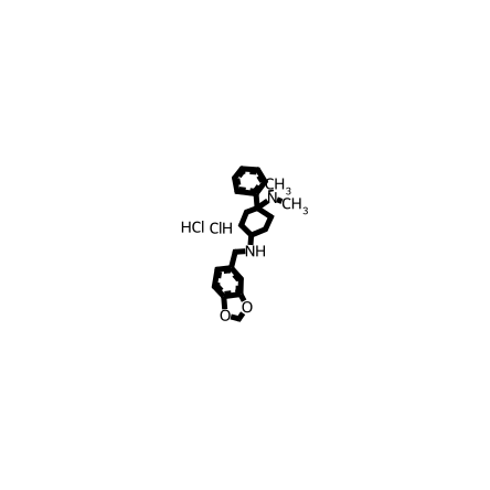 CN(C)C1(c2ccccc2)CCC(NCc2ccc3c(c2)OCO3)CC1.Cl.Cl